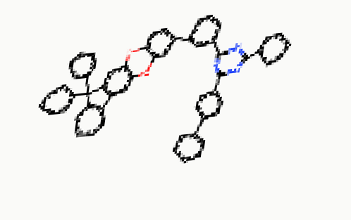 c1ccc(-c2ccc(-c3nc(-c4ccccc4)nc(-c4cccc(-c5ccc6c(c5)Oc5cc7c(cc5O6)C(c5ccccc5)(c5ccccc5)c5ccccc5-7)c4)n3)cc2)cc1